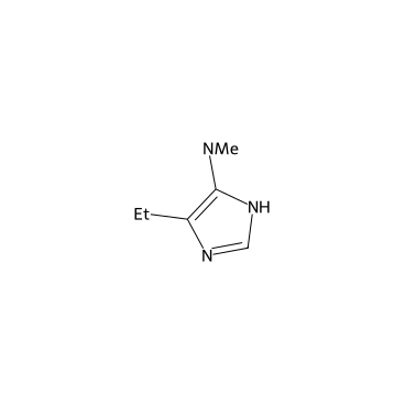 CCc1nc[nH]c1NC